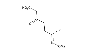 CON=C(Br)CCC(=O)CC(=O)O